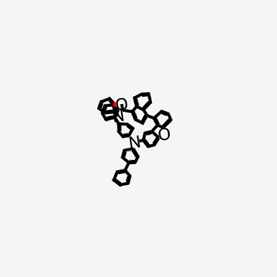 c1ccc(-c2ccc(N(c3ccc(-c4ccccc4)cc3)c3ccc4oc5cccc(-c6ccc(-c7nc8ccccc8o7)c7ccccc67)c5c4c3)cc2)cc1